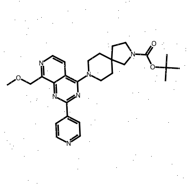 COCc1nccc2c(N3CCC4(CCN(C(=O)OC(C)(C)C)C4)CC3)nc(-c3ccncc3)nc12